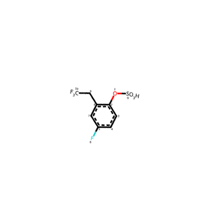 O=S(=O)(O)Oc1ccc(F)cc1CC(F)(F)F